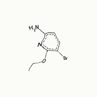 CCOc1nc(N)ccc1Br